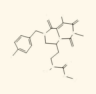 CSN(CCC1CN(Cc2ccc(F)cc2)C(=O)c2c(O)c(=O)n(C(C)C)c(=O)n21)C(=O)NC(C)C